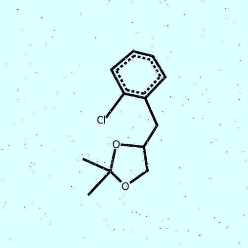 CC1(C)OCC(Cc2ccccc2Cl)O1